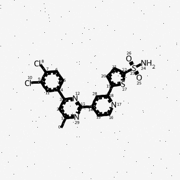 Cc1cc(-c2ccc(Cl)c(Cl)c2)nc(-c2ccnc(-c3ccc(S(N)(=O)=O)s3)c2)n1